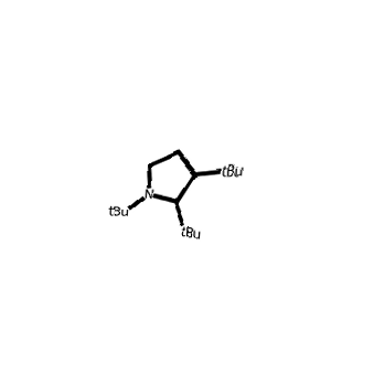 CC(C)(C)C1CCN(C(C)(C)C)C1C(C)(C)C